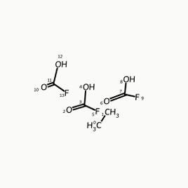 CC.O=C(O)F.O=C(O)F.O=C(O)F